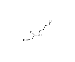 NCC(=O)NCCCC=O